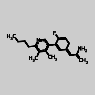 C=C(N)/C=C1/C=C(c2cnc(CCCC)c(C)c2C)C(F)=CC1